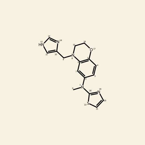 CN(c1ccc2c(c1)N(Cc1c[nH]cn1)CCO2)c1nccs1